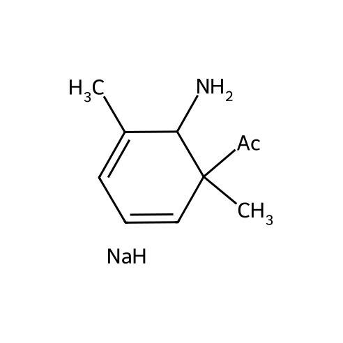 CC(=O)C1(C)C=CC=C(C)C1N.[NaH]